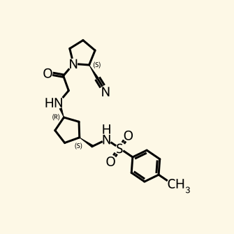 Cc1ccc(S(=O)(=O)NC[C@H]2CC[C@@H](NCC(=O)N3CCC[C@H]3C#N)C2)cc1